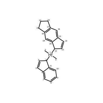 [CH3][Hf]([CH3])([CH]1C=Cc2ccccc21)[CH]1C=Cc2cc3c(cc21)CCC3